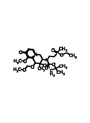 CCOP(C)(=O)CCN(C(=O)OC(C)(C)C)C1Cn2ccc(=O)c(OC)c2C(OCOC)C1(C)C